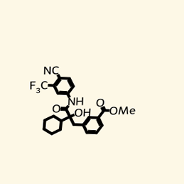 COC(=O)c1cccc(CC(O)(C(=O)Nc2ccc(C#N)c(C(F)(F)F)c2)C2CCCCC2)c1